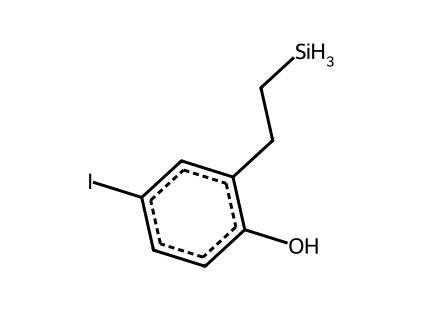 Oc1ccc(I)cc1CC[SiH3]